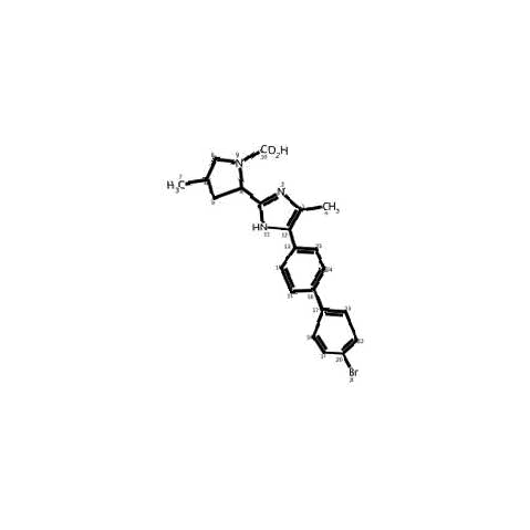 Cc1nc(C2CC(C)CN2C(=O)O)[nH]c1-c1ccc(-c2ccc(Br)cc2)cc1